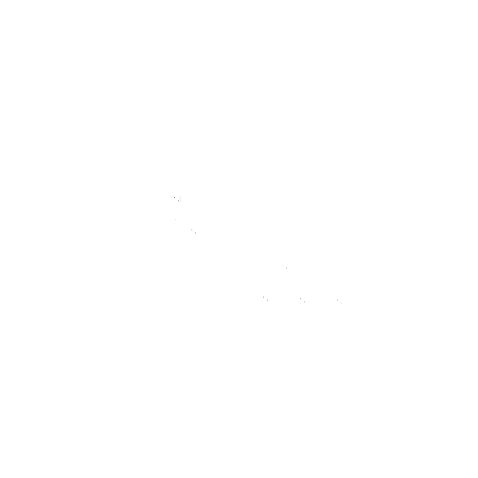 CSc1ccccc1NC(=O)NC[C@H]1CC[C@@H](Nc2nc(N(C)C)c3ccccc3n2)CC1